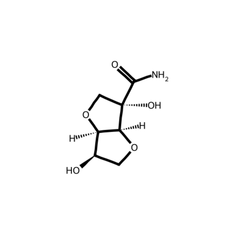 NC(=O)[C@]1(O)CO[C@@H]2[C@H](O)CO[C@@H]21